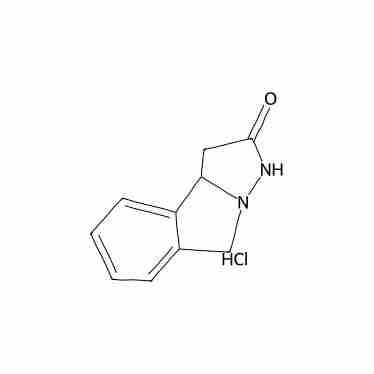 Cl.O=C1CC2c3ccccc3CN2N1